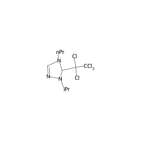 CCCN1C=NN(C(C)C)C1C(Cl)(Cl)C(Cl)(Cl)Cl